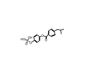 CC(C)Cc1ccc(C(=O)Oc2ccc(OP(=O)(O)O)cc2)cc1